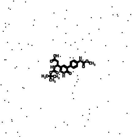 COC(=O)Nc1ccc(-c2cc(C(CC(=O)O)NC(=O)OC(C)(C)C)n[nH]c2=O)cc1